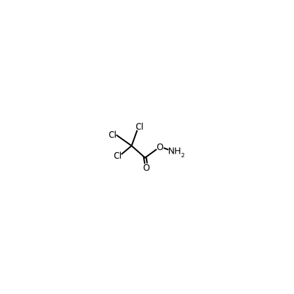 NOC(=O)C(Cl)(Cl)Cl